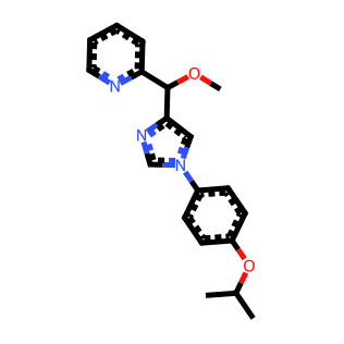 COC(c1ccccn1)c1cn(-c2ccc(OC(C)C)cc2)cn1